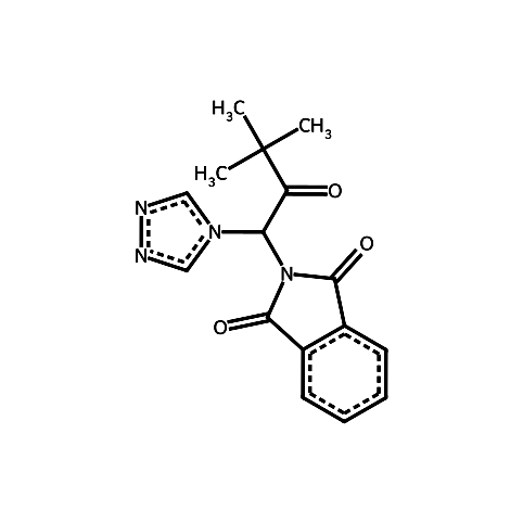 CC(C)(C)C(=O)C(N1C(=O)c2ccccc2C1=O)n1cnnc1